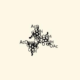 C=CCNC(=O)c1c(I)c(NC(=O)COC(C)=O)c(I)c(C(=O)NCC(C)(CNC(=O)c2c(I)c(NC(=O)COC(C)=O)c(I)c(C(=O)NCC=C)c2I)CNC(=O)c2c(I)c(NC(=O)COC(C)=O)c(I)c(C(=O)NCC=C)c2I)c1I